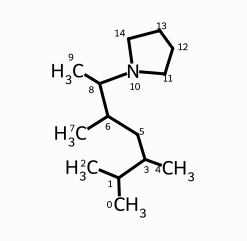 CC(C)C(C)CC(C)C(C)N1CCCC1